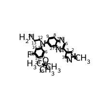 Cn1cc(-c2cnc3ccc(N(CCN)c4cc(F)cc(OC(C)(C)C)c4)cc3n2)cn1